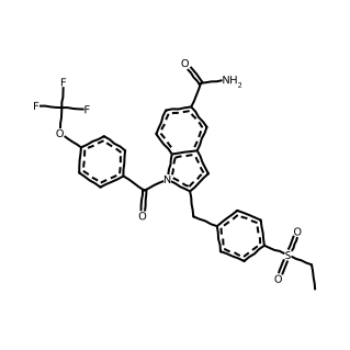 CCS(=O)(=O)c1ccc(Cc2cc3cc(C(N)=O)ccc3n2C(=O)c2ccc(OC(F)(F)F)cc2)cc1